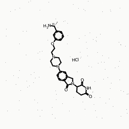 C[C@@H](N)c1cccc(OCCN2CCN(c3ccc4c(c3)CN(C3CCC(=O)NC3=O)C4=O)CC2)c1.Cl